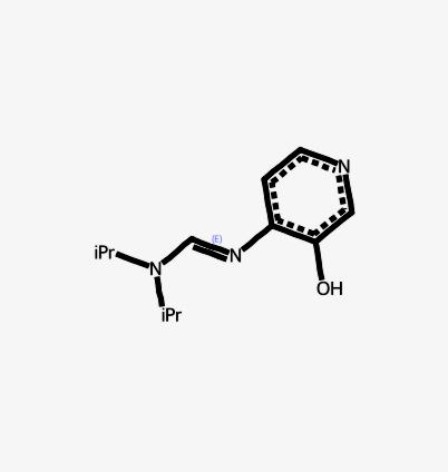 CC(C)N(/C=N/c1ccncc1O)C(C)C